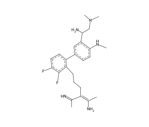 CNc1ccc(-c2ccc(F)c(F)c2CCC/C(C(C)=N)=C(\C)N)cc1C(N)CN(C)C